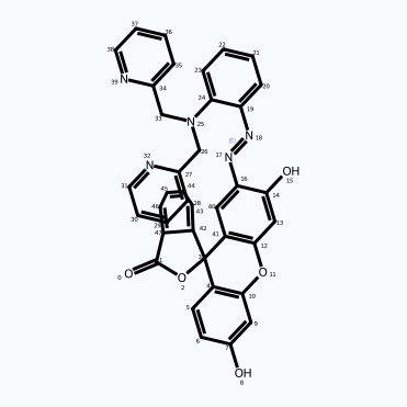 O=C1OC2(c3ccc(O)cc3Oc3cc(O)c(/N=N/c4ccccc4N(Cc4ccccn4)Cc4ccccn4)cc32)c2ccccc21